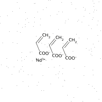 C=CC(=O)[O-].C=CC(=O)[O-].C=CC(=O)[O-].[Nd+3]